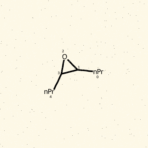 CCCC1OC1CCC